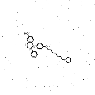 Oc1ccc2c(c1)OC[C@H](c1ccccc1)[C@H]2c1ccc(OCCCCCCCN2CCCC2)cc1